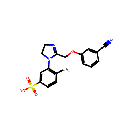 Cc1ccc(S(=O)(=O)O)cc1N1CCN=C1COc1cccc(C#N)c1